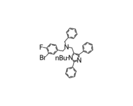 CCCCn1c(-c2ccccc2)nc(-c2ccccc2)c1CN(Cc1ccccc1)Cc1ccc(F)c(Br)c1